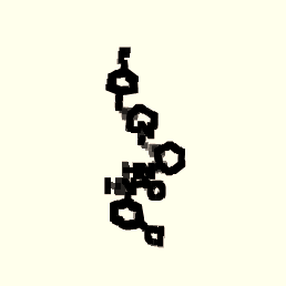 O=C(Nc1cccc(Cl)c1)N[C@@H]1CCCC[C@H]1CN1CCC[C@@H](Cc2ccc(F)cc2)C1